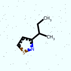 CCC(C)c1c[c]sn1